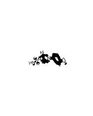 CNS(=O)(=O)N1CC2N(c3ccc(OC)cc3)C[C@@H](C1)CC2(C)C